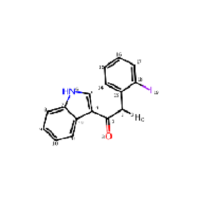 [2H]C(C(=O)c1c[nH]c2ccccc12)c1ccccc1I